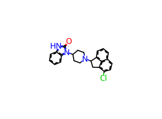 O=c1[nH]c2ccccc2n1C1CCN(C2Cc3c(Cl)ccc4cccc2c34)CC1